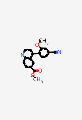 COC(=O)c1ccc2nccc(-c3ccc(C#N)cc3OC)c2c1